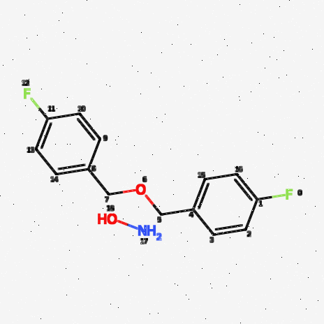 Fc1ccc(COCc2ccc(F)cc2)cc1.NO